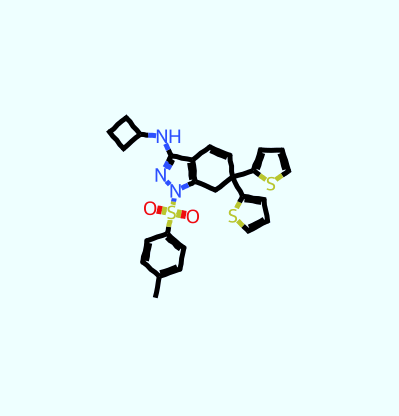 Cc1ccc(S(=O)(=O)n2nc(NC3CCC3)c3c2CC(c2cccs2)(c2cccs2)C=C3)cc1